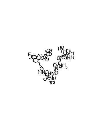 CC[C@@]1(O)C(=O)OCc2c1cc1n(c2=O)Cc2c-1nc1cc(F)c(C)c3c1c2C(CCCOCNC(=O)CNC(=O)[C@H](Cc1ccccc1)NC(=O)CNC(=O)CNC(=O)[C@@H](N)CCC(=O)NC[C@@H]1O[C@H](CO)[C@@H](O)[C@H](O)[C@H]1O)CC3